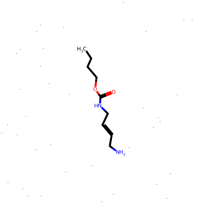 CCCCOC(=O)NCC=CCN